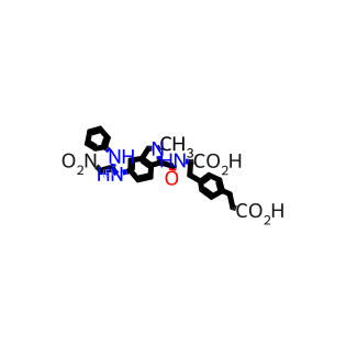 CN1Cc2cc(N/C(=C/[N+](=O)[O-])Nc3ccccc3)ccc2C1C(=O)NC(Cc1ccc(CCC(=O)O)cc1)C(=O)O